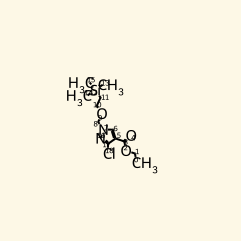 CCOC(=O)c1cn(COCC[Si](C)(C)C)nc1Cl